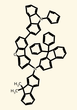 CC1(C)c2ccccc2-c2ccc(N(c3ccc4c(c3)C(c3ccccc3)(c3ccccc3)c3ccccc3-4)c3ccc4oc5ccc(-c6ccc7c(c6)c6ccccc6n7-c6ccccc6)cc5c4c3)cc21